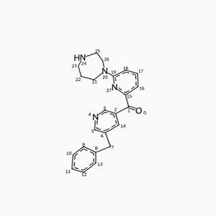 O=C(c1cncc(Cc2ccccc2)c1)c1cccc(N2CCCNCC2)n1